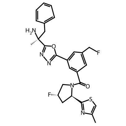 Cc1csc([C@H]2C[C@H](F)CN2C(=O)c2cc(CF)cc(-c3nnc([C@@](C)(N)Cc4ccccc4)o3)c2)n1